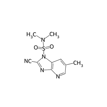 Cc1cnc2nc(C#N)n(S(=O)(=O)N(C)C)c2c1